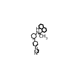 C[C@@H](NC1CCC[C@H](C2C=CC(n3ccnc3)=CC2)C1)c1cccc2ccccc12